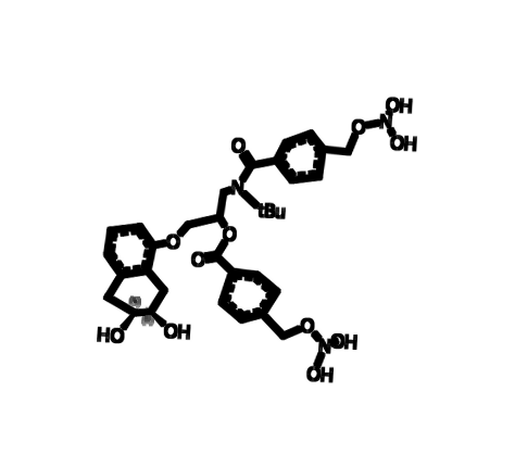 CC(C)(C)N(CC(COc1cccc2c1C[C@@H](O)[C@@H](O)C2)OC(=O)c1ccc(CON(O)O)cc1)C(=O)c1ccc(CON(O)O)cc1